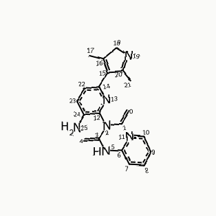 C=CN(C(=C)Nc1ccccn1)c1nc(C2=C(C)CN=C2C)ccc1N